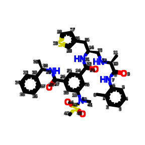 Cc1ccccc1NC(=O)[C@H](C)NC[C@H](Cc1ccsc1)NC(=O)c1cc(C(=O)N[C@H](C)c2ccccc2)cc(N(C)S(C)(=O)=O)c1